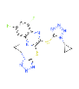 Fc1cc(F)c2nc(Sc3nnnn3C3CC3)c(Sc3nnnn3C3CC3)nc2c1